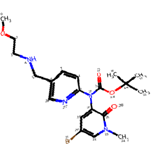 COCCNCc1ccc(N(C(=O)OC(C)(C)C)c2cc(Br)cn(C)c2=O)nc1